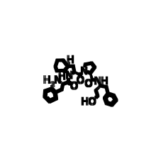 N[C@@H](Cc1ccccc1)C(=O)N1[C@H](C(=O)N2CCC[C@H]2C(=O)N[C@H](CCO)Cc2ccccc2)C[C@@H]2CCCC[C@@H]21